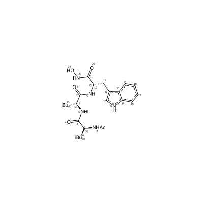 CC[C@H](C)[C@H](NC(C)=O)C(=O)N[C@H](C(=O)N[C@@H](Cc1c[nH]c2ccccc12)C(=O)NO)[C@@H](C)CC